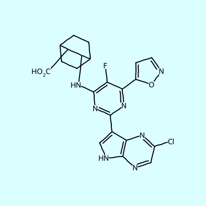 O=C(O)C1C2CCC(CC2)C1Nc1nc(-c2c[nH]c3ncc(Cl)nc23)nc(-c2ccno2)c1F